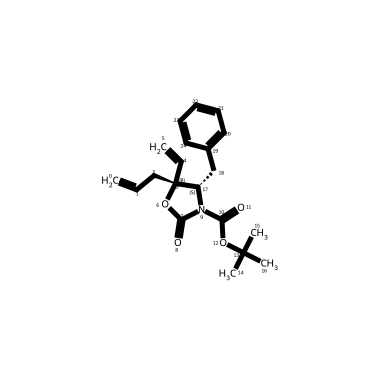 C=CC[C@]1(C=C)OC(=O)N(C(=O)OC(C)(C)C)[C@H]1Cc1ccccc1